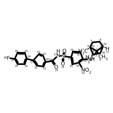 CC1(C)[C@H]2CC[C@]1(C)[C@@H](Nc1ccc(S(=O)(=O)NC(=O)c3ccc(-c4ccc(F)cc4)cc3)cc1[N+](=O)[O-])C2